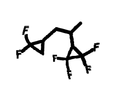 CC(CC1CC1(F)F)C1C(F)(F)C1(F)F